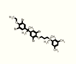 CCOc1c(Br)cc(C(C)(C)c2cc(Br)c(OCCC[Si](C)(C)c3cc(C)cc(C)c3)c(Br)c2)cc1Br